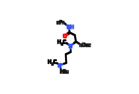 CCCCCCCCCCC(CC(=O)NCCC)N(C)CCCN(C)CCCC